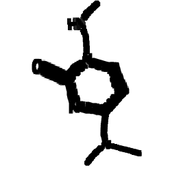 CNn1ccc(N(C)C)nc1=O